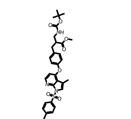 COC(=O)C(CNC(=O)OC(C)(C)C)Cc1ccc(Oc2ccnc3c2c(C)cn3S(=O)(=O)c2ccc(C)cc2)cc1